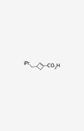 CC(C)CC1C=C(C(=O)O)C1